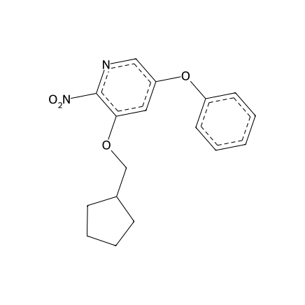 O=[N+]([O-])c1ncc(Oc2ccccc2)cc1OCC1CCCC1